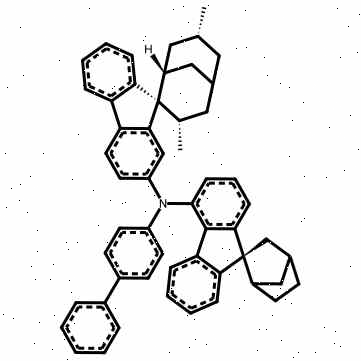 C[C@@H]1CC2C[C@@H](C1)[C@@]1(c3ccccc3-c3ccc(N(c4ccc(-c5ccccc5)cc4)c4cccc5c4-c4ccccc4[C@]54CC5CCC4C5)cc31)[C@@H](C)C2